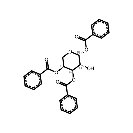 O=C(O[C@H]1OC[C@H](OC(=O)c2ccccc2)[C@H](OC(=O)c2ccccc2)[C@H]1O)c1ccccc1